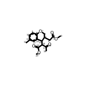 COC(=O)CC1COc2ccc(C)cc2C1C(C(C)=O)C(=O)OC